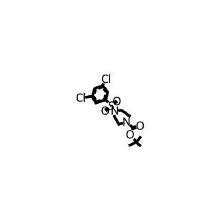 CC(C)(C)OC(=O)N1CCN(S(=O)(=O)c2cc(Cl)cc(Cl)c2)CC1